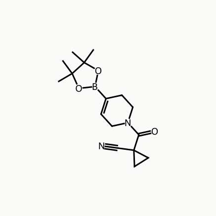 CC1(C)OB(C2=CCN(C(=O)C3(C#N)CC3)CC2)OC1(C)C